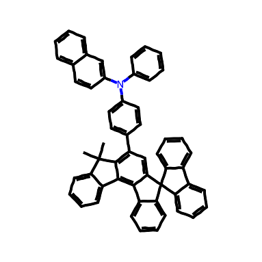 CC1(C)c2ccccc2-c2c3c(cc(-c4ccc(N(c5ccccc5)c5ccc6ccccc6c5)cc4)c21)C1(c2ccccc2-c2ccccc21)c1ccccc1-3